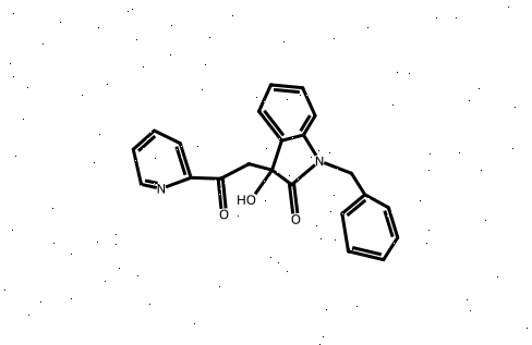 O=C(CC1(O)C(=O)N(Cc2ccccc2)c2ccccc21)c1ccccn1